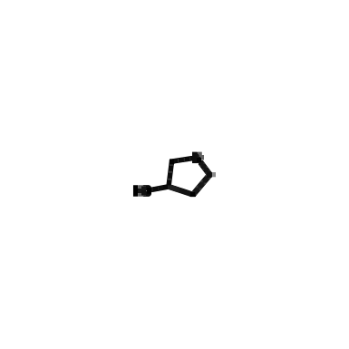 OC1C[CH][N]C1